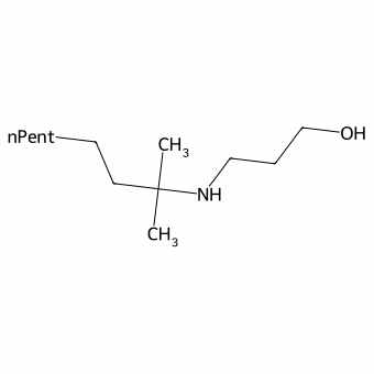 CCCCCCCC(C)(C)NCCCO